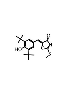 CSC1=NC(=O)C(=Cc2cc(C(C)(C)C)c(O)c(C(C)(C)C)c2)O1